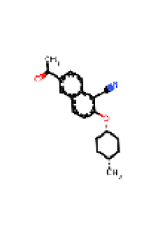 CC(=O)c1ccc2c(C#N)c(O[C@H]3CC[C@@H](C)CC3)ccc2c1